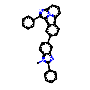 Cn1c(-c2ccccc2)nc2cc(-c3ccc4c(c3)c3c(-c5ccccc5)nc5cccc4n53)ccc21